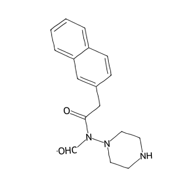 O=[C]N(C(=O)Cc1ccc2ccccc2c1)N1CCNCC1